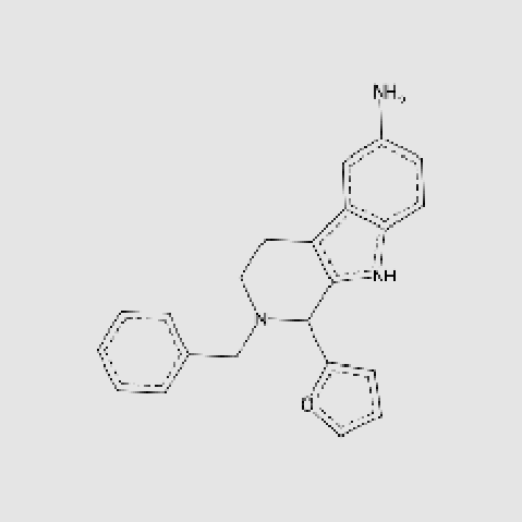 Nc1ccc2[nH]c3c(c2c1)CCN(Cc1ccccc1)C3c1ccco1